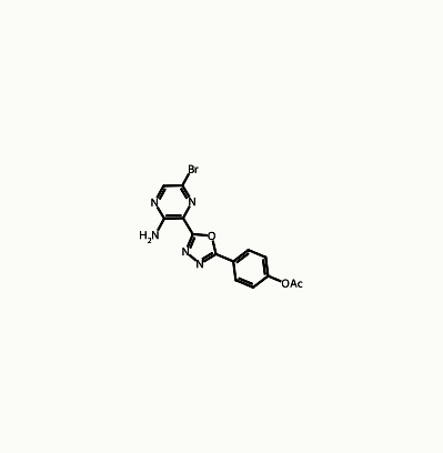 CC(=O)Oc1ccc(-c2nnc(-c3nc(Br)cnc3N)o2)cc1